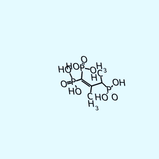 CC(=C(P(=O)(O)O)P(=O)(O)O)C(C)P(=O)(O)O